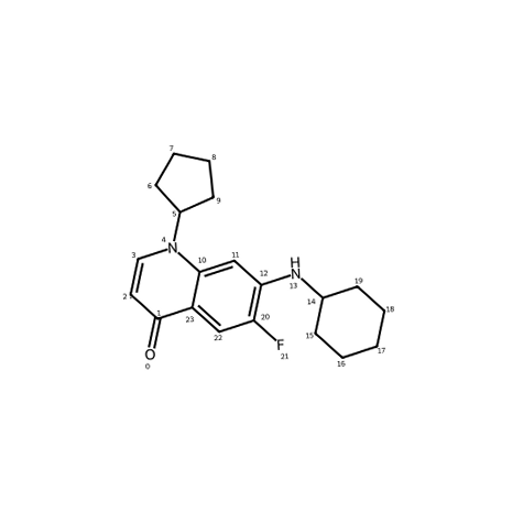 O=c1[c]cn(C2CCCC2)c2cc(NC3CCCCC3)c(F)cc12